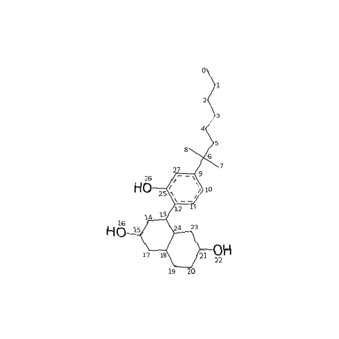 CCCCCCC(C)(C)c1ccc(C2CC(O)CC3CCC(O)CC32)c(O)c1